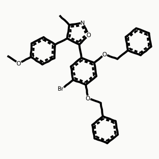 COc1ccc(-c2c(C)noc2-c2cc(Br)c(OCc3ccccc3)cc2OCc2ccccc2)cc1